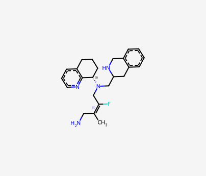 C/C(CN)=C(\F)CN(CC1Cc2ccccc2CN1)[C@H]1CCCc2cccnc21